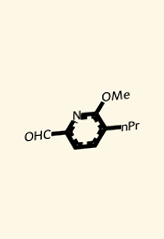 CCCc1ccc(C=O)nc1OC